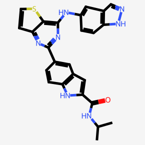 CC(C)NC(=O)c1cc2cc(-c3nc(Nc4ccc5[nH]ncc5c4)c4sccc4n3)ccc2[nH]1